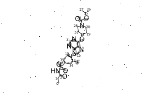 CCC(=O)NS(=O)(=O)c1ccc(-n2cnc3c(OC4CCN(C(=O)OC(C)C)CC4)ncnc32)c(F)c1